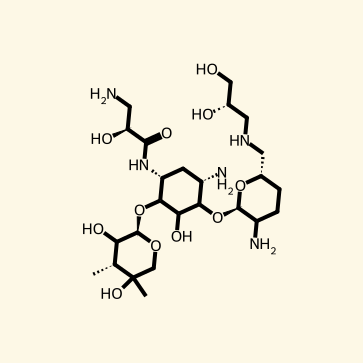 C[C@@H]1C(O)[C@@H](OC2C(O)C(O[C@H]3O[C@H](CNC[C@H](O)CO)CCC3N)[C@@H](N)C[C@H]2NC(=O)[C@@H](O)CN)OCC1(C)O